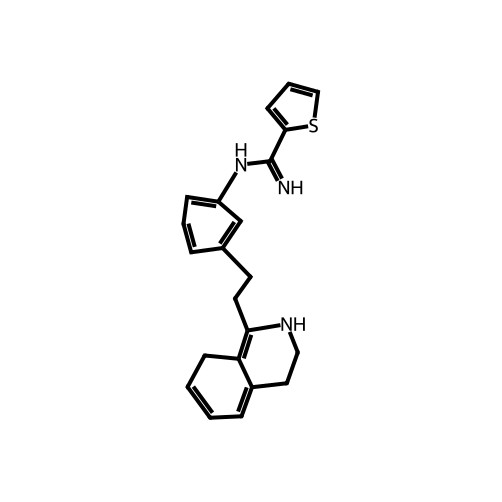 N=C(Nc1cccc(CCC2=C3CC=CC=C3CCN2)c1)c1cccs1